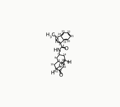 Cn1nc(C(=O)NC2CC3C[C@H]4C[C@H](C2)N3CC4=O)c2ccccc21